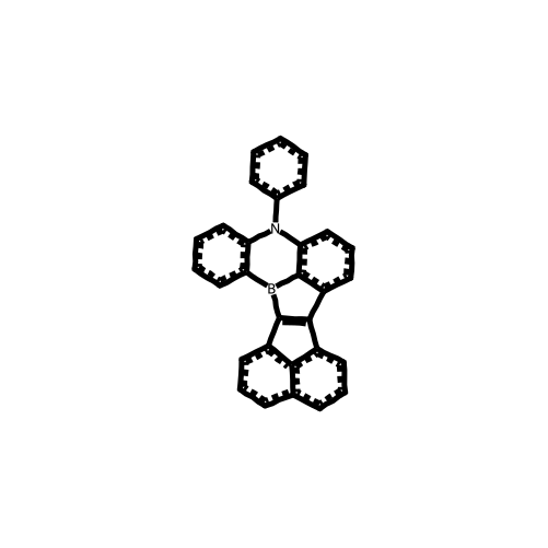 c1ccc(N2c3ccccc3B3C4=C(c5cccc2c53)c2cccc3cccc4c23)cc1